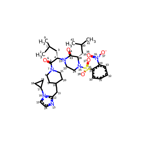 CC(C)C[C@@H](C(=O)N1CCC(Cc2nccn2C2CC2)CC1)N1CCN(S(=O)(=O)c2ccccc2[N+](=O)[O-])[C@@H](CC(C)C)C1=O